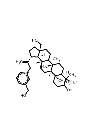 C=C(C[n+]1cccc(CO)c1)[C@@H]1CC[C@]2(CO)CC[C@]3(C)[C@H](CC[C@@H]4[C@@]5(C)CCC(O)C(C)(C)[C@@H]5CC[C@]43C)[C@@H]12.[Br-]